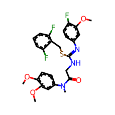 COc1cc(N=C(NCC(=O)N(C)c2ccc(OC)c(OC)c2)SCc2c(F)cccc2F)ccc1F